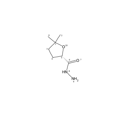 CC1(C)CC[C@@H](C(=O)NN)O1